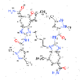 CCn1nc(C)cc1C(=O)Nc1nc2cc(C(N)=O)cc(OC)c2n1CCCCn1c(NC(=O)c2cc(C)nn2CC)nc2cc(C(N)=O)c3oc(C)cc3c21